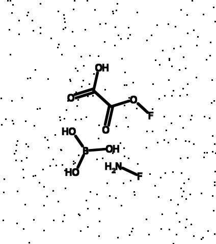 NF.O=C(O)C(=O)OF.OB(O)O